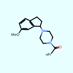 CCCC(=O)N1CCN(C2CCc3ccc(OC)cc32)CC1